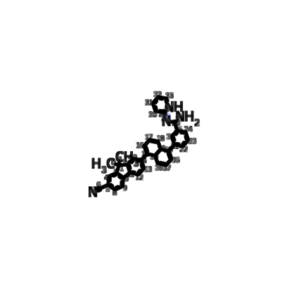 CC1(C)c2cc(C#N)ccc2-c2ccc(C3=CC=CC4C(c5cccc(C(N)/N=c6/cccc[nH]6)c5)=CC=CC34)cc21